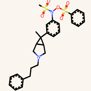 CC1(c2cccc(N(OS(=O)(=O)c3ccccc3)S(C)(=O)=O)c2)C2CN(CCCc3ccccc3)CC21